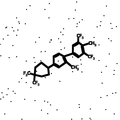 Cc1cc(C2CCC(C(F)(F)F)(C(F)(F)F)CC2)ccc1-c1cc(C(F)(F)F)c(C)c(C(F)(F)F)c1